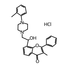 Cc1ccccc1N1CCN(CC(O)c2cccc3c(=O)c(C)c(-c4ccccc4)oc23)CC1.Cl